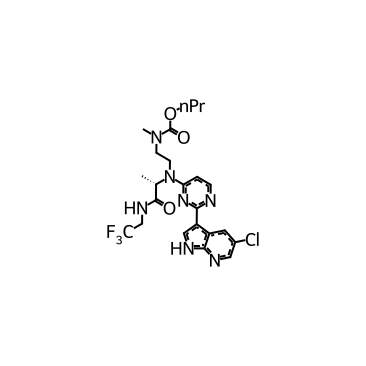 CCCOC(=O)N(C)CCN(c1ccnc(-c2c[nH]c3ncc(Cl)cc23)n1)[C@@H](C)C(=O)NCC(F)(F)F